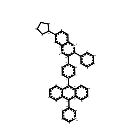 c1ccc(-c2nc3ccc(C4CCCC4)cc3nc2-c2ccc(-c3c4ccccc4c(-c4cccnc4)c4ccccc34)cc2)cc1